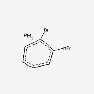 CCCc1ccccc1Br.P